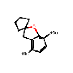 CC(C)(C)c1ccc(C(C)(C)C)c2c1CC1(CCCC1)O2